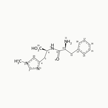 Cn1cnc(C[C@H](NC(=O)[C@@H](N)Cc2ccccc2)C(=O)O)c1